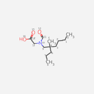 CCCCC(C)(CCC)CN(C=O)CC(=O)O